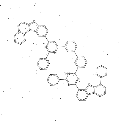 c1ccc(C2=NC(c3cccc4c3oc3c(-c5ccccc5)cccc34)=NC(c3cccc(-c4cccc(-c5cc(-c6ccc7oc8ccc9ccccc9c8c7c6)nc(-c6ccccc6)n5)c4)c3)N2)cc1